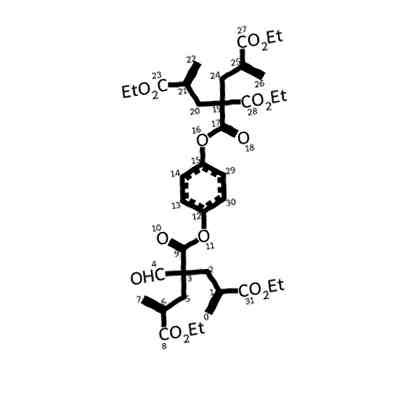 C=C(CC(C=O)(CC(=C)C(=O)OCC)C(=O)Oc1ccc(OC(=O)C(CC(=C)C(=O)OCC)(CC(=C)C(=O)OCC)C(=O)OCC)cc1)C(=O)OCC